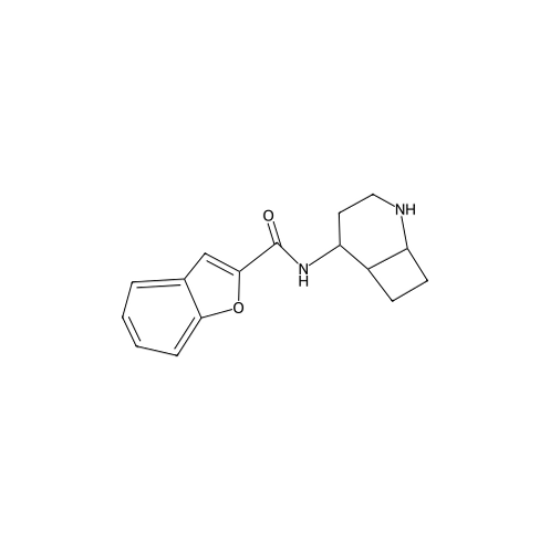 O=C(NC1CCNC2CCC21)c1cc2ccccc2o1